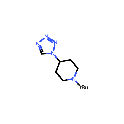 CC(C)(C)N1CCC(n2cnnn2)CC1